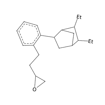 CCC1C2CC(c3ccccc3CCC3CO3)C(C2)C1CC